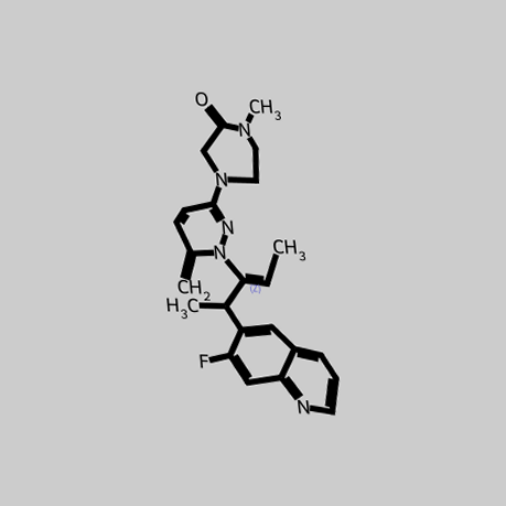 C=C1C=CC(N2CCN(C)C(=O)C2)=NN1/C(=C\C)C(C)c1cc2cccnc2cc1F